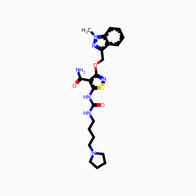 Cn1nc(COc2nsc(NC(=O)NCCCCN3CCCC3)c2C(N)=O)c2ccccc21